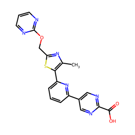 Cc1nc(COc2ncccn2)sc1-c1cccc(-c2cnc(C(=O)O)nc2)n1